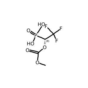 COC(=O)O[C@@H](C(F)(F)F)P(=O)(O)O